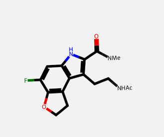 CNC(=O)c1[nH]c2cc(F)c3c(c2c1CCNC(C)=O)CCO3